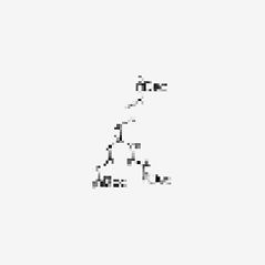 CCCCCCCCCCCCCC[C](CCCCCCCCCCCCC)CCCCCCCCCCCCC